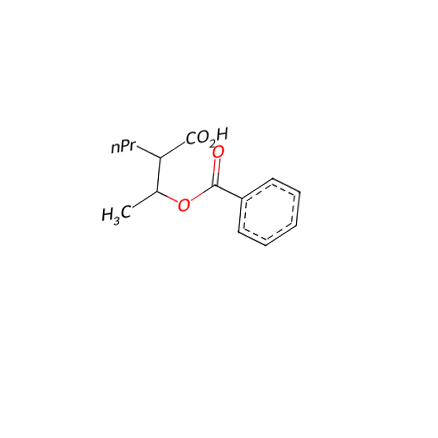 CCCC(C(=O)O)C(C)OC(=O)c1ccccc1